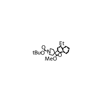 CCc1cc(C2(C(=O)OC)CCN(C(=O)OC(C)(C)C)CC2)cc2ccccc12